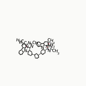 Cc1ccc2c(c1)c1ccccc1n2-c1ccc(-c2cccc(-c3ccc(-c4nc(C)nc(C)n4)c(-n4c5ccccc5c5cc(C)ccc54)c3)c2)cc1-c1nc(C)nc(C)n1